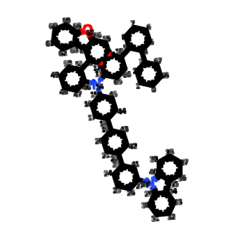 c1ccc(-c2ccccc2-c2ccc(N(c3ccc(-c4ccc(-c5cccc(-n6c7ccccc7c7ccccc76)c5)cc4)cc3)c3ccccc3-c3cccc4oc5ccccc5c34)cc2)cc1